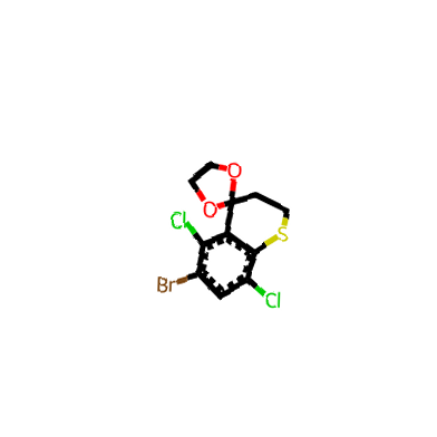 Clc1cc(Br)c(Cl)c2c1SCCC21OCCO1